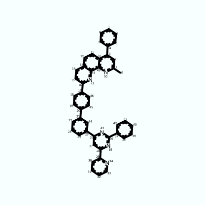 Cc1cc(-c2ccccc2)c2ccc3ccc(-c4ccc(-c5cccc(-c6cc(-c7ccccn7)nc(-c7ccccc7)n6)c5)cc4)nc3c2n1